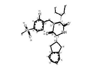 CCC(CC)[C@@H]1C(=O)N[C@H](C2Cc3ccccc3C2)C(=O)N1Cc1ccc(S(C)(=O)=O)cc1Cl